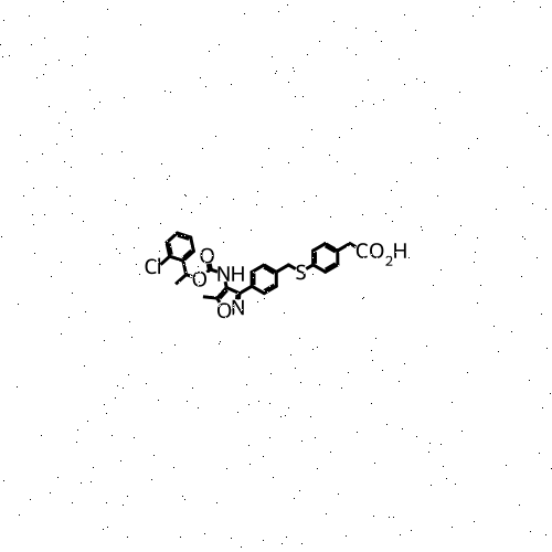 Cc1onc(-c2ccc(CSc3ccc(CC(=O)O)cc3)cc2)c1NC(=O)OC(C)c1ccccc1Cl